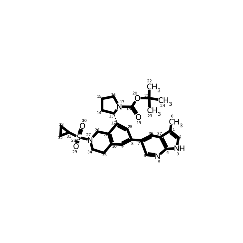 Cc1c[nH]c2ncc(-c3cc4c(c([C@@H]5CCCN5C(=O)OC(C)(C)C)c3)CN(S(=O)(=O)C3CC3)CC4)cc12